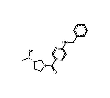 CC(=O)N(C)[C@H]1CCN(C(=O)c2ccc(NCc3ccccc3)nc2)C1